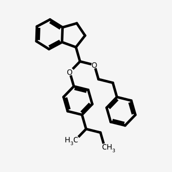 CCC(C)c1ccc(OC(OCCc2ccccc2)C2CCc3ccccc32)cc1